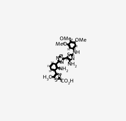 COc1cc(Nc2nc(N)c(-c3nc(-c4cccc(-c5nc(C(=O)O)sc5C)c4N)no3)s2)cc(OC)c1OC